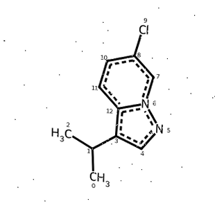 CC(C)c1cnn2cc(Cl)ccc12